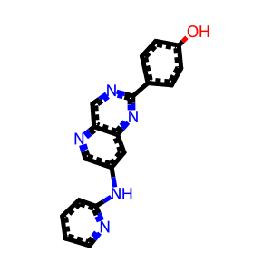 Oc1ccc(-c2ncc3ncc(Nc4ccccn4)cc3n2)cc1